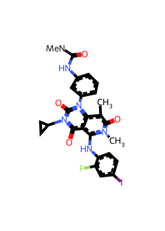 CNC(=O)Nc1cccc(-n2c(=O)n(C3CC3)c(=O)c3c(Nc4ccc(I)cc4F)n(C)c(=O)c(C)c32)c1